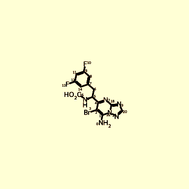 Nc1c(Br)c(C(Cc2cc(F)cc(F)c2)NC(=O)O)nc2ncnn12